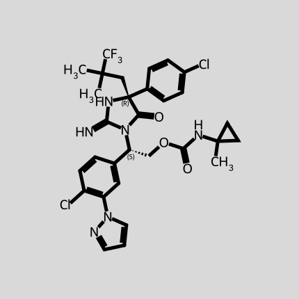 CC1(NC(=O)OC[C@H](c2ccc(Cl)c(-n3cccn3)c2)N2C(=N)N[C@](CC(C)(C)C(F)(F)F)(c3ccc(Cl)cc3)C2=O)CC1